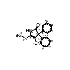 CCC(C)SC1=C(C#N)C(c2ccccc2)(c2ccccc2)C(=O)N1